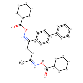 C/C(CC/C(=N/OC(=O)C1CCCCC1)c1ccc(-c2ccccc2)cc1)=N/OC(=O)C1CCCCC1